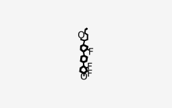 C=CC1CCC(c2ccc(-c3ccc(-c4ccc(OC)c(F)c4F)cc3)c(F)c2)CO1